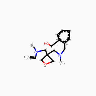 C=CN(CC)CC1(CN(C)Cc2ccccc2CO)COC1